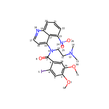 COc1cc(I)c(C(=O)N(CCN(C)C)c2ccnc3cccc([N+](=O)[O-])c23)cc1OC